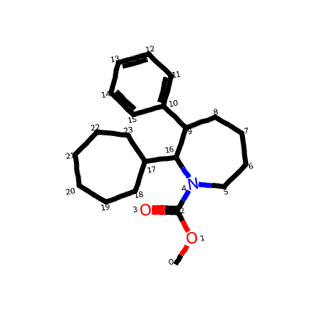 COC(=O)N1CCCCC(c2ccccc2)C1C1CCCCCC1